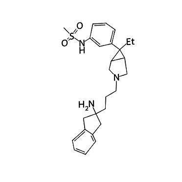 CCC1(c2cccc(NS(C)(=O)=O)c2)C2CN(CCCC3(N)Cc4ccccc4C3)CC21